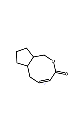 O=C1/C=C\CC2CCCC2CO1